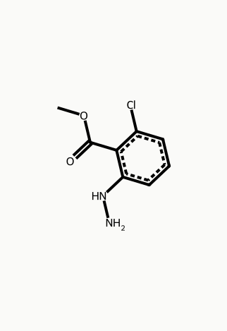 COC(=O)c1c(Cl)cccc1NN